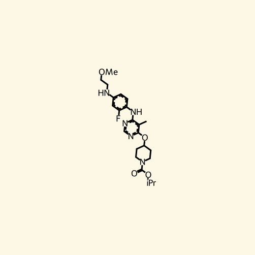 COCCNc1ccc(Nc2ncnc(OC3CCN(C(=O)OC(C)C)CC3)c2C)c(F)c1